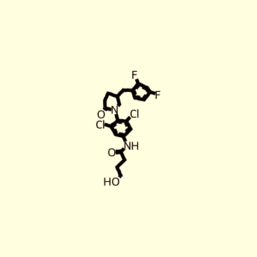 O=C(CCCO)Nc1cc(Cl)c(N2CC(Cc3ccc(F)cc3F)CCC2=O)c(Cl)c1